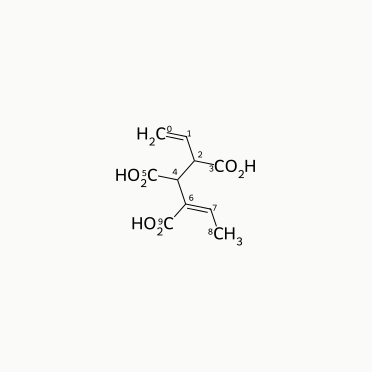 C=CC(C(=O)O)C(C(=O)O)C(=CC)C(=O)O